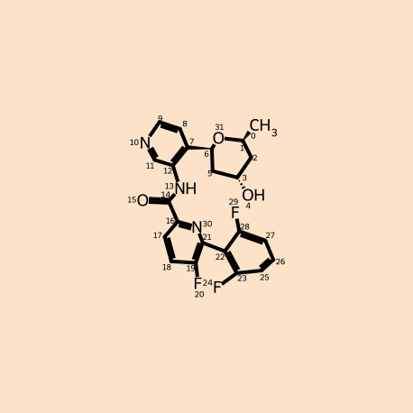 C[C@H]1C[C@H](O)C[C@@H](c2ccncc2NC(=O)c2ccc(F)c(-c3c(F)cccc3F)n2)O1